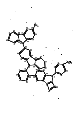 Cc1ccc(-n2c3c(c4cc(-c5ccccc5-n5c6ccccc6c6cc(-n7c8ccccc8c8cc(C)ccc87)ccc65)ccc42)C=N3)cc1